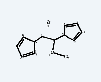 ClOC(CC1C=CC=C1)C1C=CC=C1.[Zr]